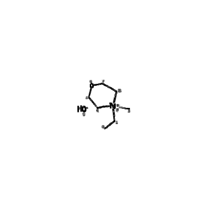 CC[N+]1(C)CCOCC1.[OH-]